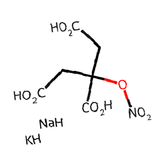 O=C(O)CC(CC(=O)O)(O[N+](=O)[O-])C(=O)O.[KH].[NaH]